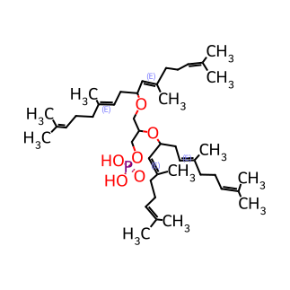 CC(C)=CCC/C(C)=C/CC(/C=C(\C)CCC=C(C)C)OCC(COP(=O)(O)O)OC(/C=C(\C)CCC=C(C)C)C/C=C(\C)CCC=C(C)C